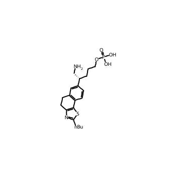 CCCCc1nc2c(s1)-c1ccc([C@H](CN)CCCOP(=O)(O)O)cc1CC2